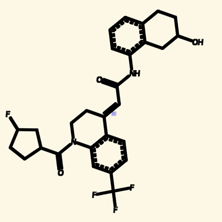 O=C(/C=C1\CCN(C(=O)C2CCC(F)C2)c2cc(C(F)(F)F)ccc21)Nc1cccc2c1CC(O)CC2